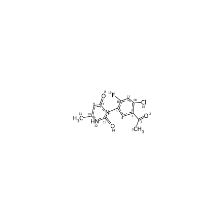 CC(=O)c1cc(-n2c(=O)cc(C)[nH]c2=O)c(F)cc1Cl